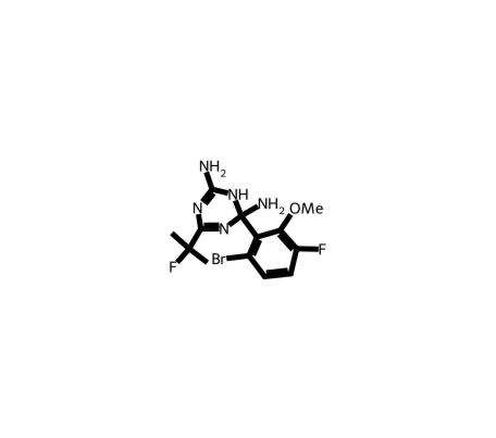 COc1c(F)ccc(Br)c1C1(N)N=C(C(C)(C)F)N=C(N)N1